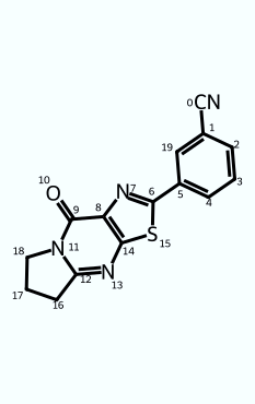 N#Cc1cccc(-c2nc3c(=O)n4c(nc3s2)CCC4)c1